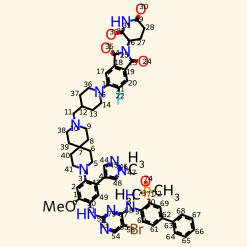 COc1cc(N2CCC3(CCN(CC4CCN(c5cc6c(cc5F)C(=O)N(C5CCC(=O)NC5=O)C6=O)CC4)CC3)CC2)c(-c2cnn(C)c2)cc1Nc1ncc(Br)c(Nc2ccc(-c3ccccc3)cc2P(C)(C)=O)n1